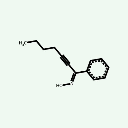 CCCCC#CC(=NO)c1ccccc1